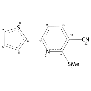 CSc1nc(-c2cccs2)ccc1C#N